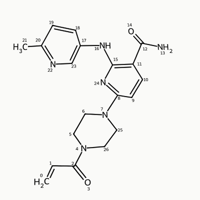 C=CC(=O)N1CCN(c2ccc(C(N)=O)c(Nc3ccc(C)nc3)n2)CC1